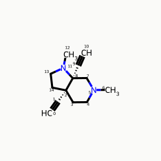 C#C[C@@]12CCN(C)C[C@]1(C#C)N(C)CC2